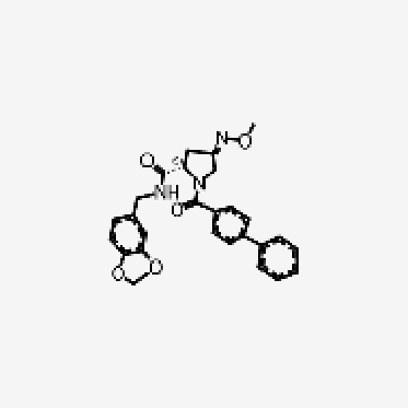 CON=C1C[C@@H](C(=O)NCc2ccc3c(c2)OCO3)N(C(=O)c2ccc(-c3ccccc3)cc2)C1